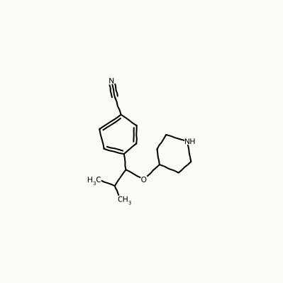 CC(C)C(OC1CCNCC1)c1ccc(C#N)cc1